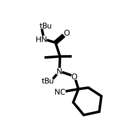 CC(C)(C)NC(=O)C(C)(C)N(OC1(C#N)CCCCC1)C(C)(C)C